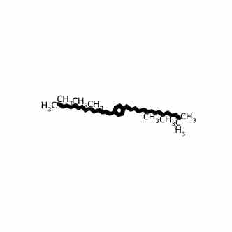 CC(C)=CCC/C(C)=C/CC/C(C)=C/C=C/C=C/c1ccc(/C=C/C=C/C=C(\C)CC/C=C(\C)CCC=C(C)C)cc1